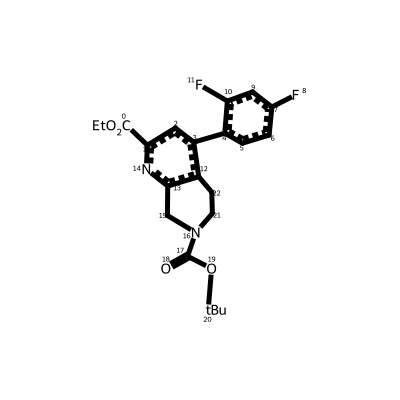 CCOC(=O)c1cc(-c2ccc(F)cc2F)c2c(n1)CN(C(=O)OC(C)(C)C)CC2